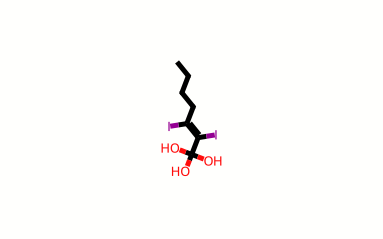 CCCCC(I)=C(I)C(O)(O)O